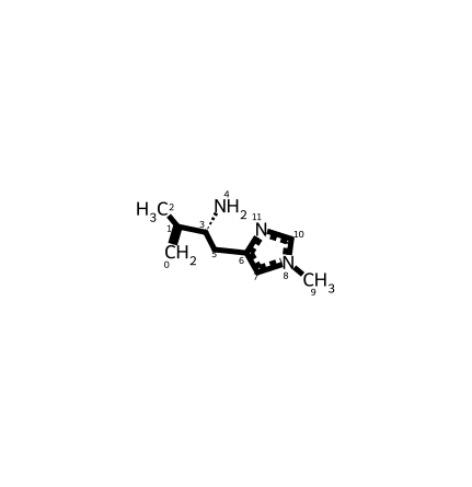 C=C(C)[C@H](N)Cc1cn(C)cn1